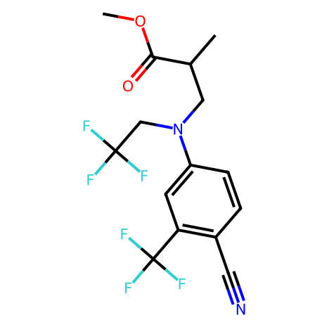 COC(=O)C(C)CN(CC(F)(F)F)c1ccc(C#N)c(C(F)(F)F)c1